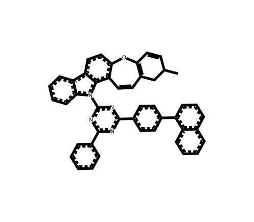 CC1C=CC2=C(C=Cc3c(ccc4c5ccccc5n(-c5nc(-c6ccccc6)nc(-c6ccc(-c7cccc8ccccc78)cc6)n5)c34)O2)C1